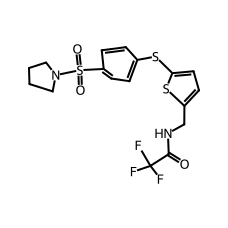 O=C(NCc1ccc(Sc2ccc(S(=O)(=O)N3CCCC3)cc2)s1)C(F)(F)F